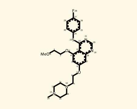 COCCOc1cc(OCCN2CCN(C)CC2)cc2ncnc(Sc3ccc(F)cc3)c12